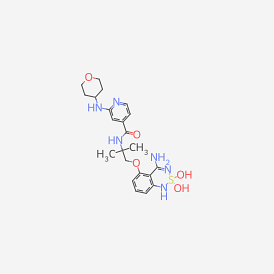 CC(C)(COc1cccc2c1C(N)=NS(O)(O)N2)NC(=O)c1ccnc(NC2CCOCC2)c1